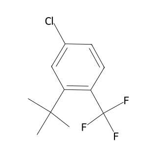 CC(C)(C)c1cc(Cl)ccc1C(F)(F)F